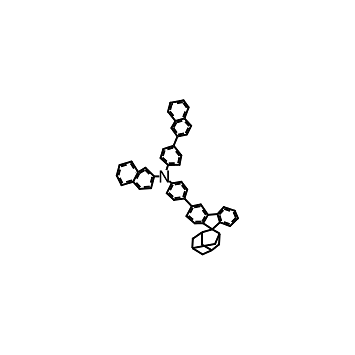 c1ccc2c(c1)-c1cc(-c3ccc(N(c4ccc(-c5ccc6ccccc6c5)cc4)c4ccc5ccccc5c4)cc3)ccc1C21C2CC3CC(C2)CC1C3